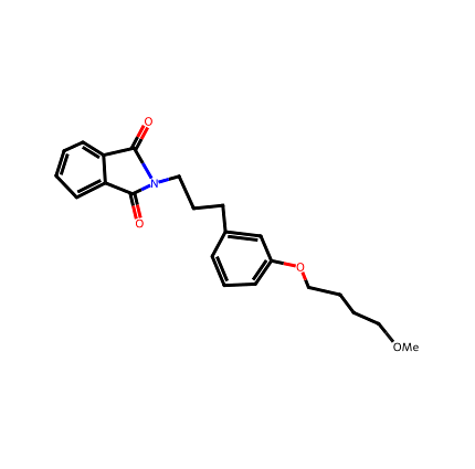 COCCCCOc1cccc(CCCN2C(=O)c3ccccc3C2=O)c1